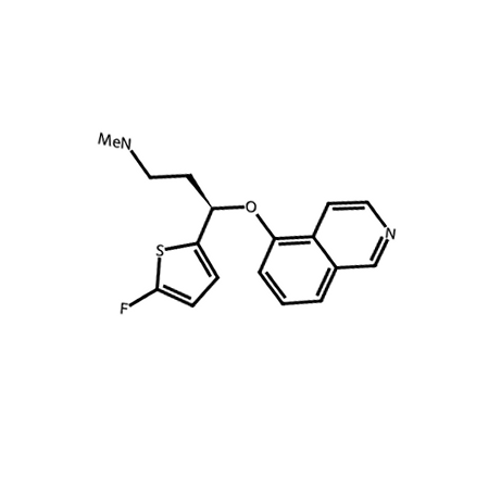 CNCC[C@@H](Oc1cccc2cnccc12)c1ccc(F)s1